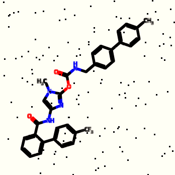 Cc1ccc(-c2ccc(CNC(=O)Oc3nc(NC(=O)c4ccccc4-c4ccc(C(F)(F)F)cc4)cn3C)cc2)cc1